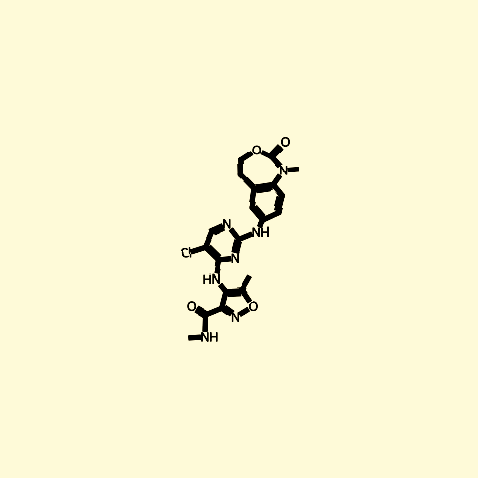 CNC(=O)c1noc(C)c1Nc1nc(Nc2ccc3c(c2)CCOC(=O)N3C)ncc1Cl